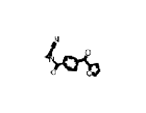 N#CC1CN1C(=O)c1ccc(C(=O)c2ccco2)cc1